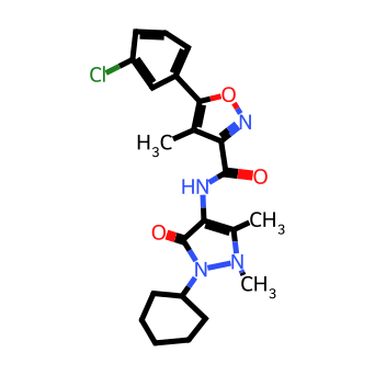 Cc1c(C(=O)Nc2c(C)n(C)n(C3CCCCC3)c2=O)noc1-c1cccc(Cl)c1